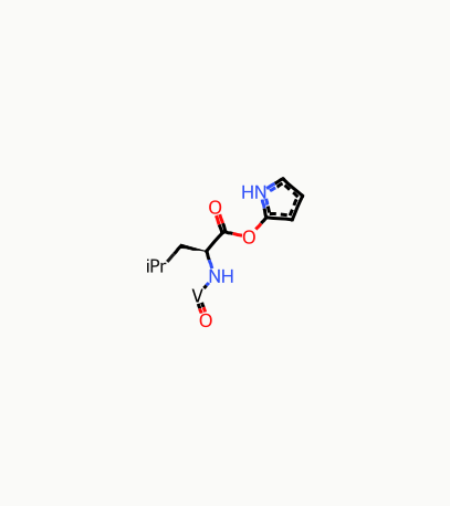 CC(C)C[C@H]([NH][V]=[O])C(=O)Oc1ccc[nH]1